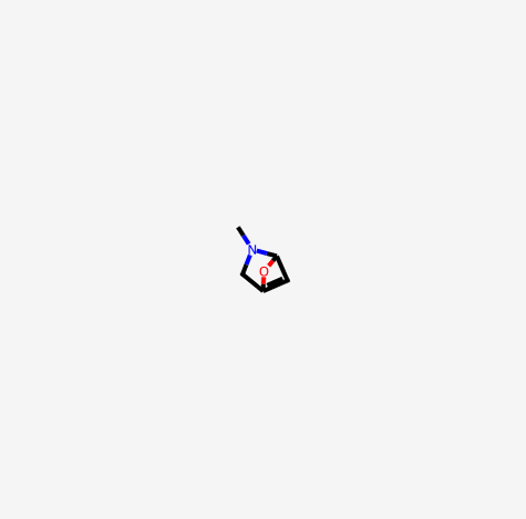 CN1CC2=CC1O2